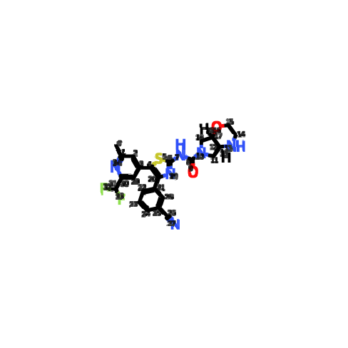 Cc1cc(-c2sc(NC(=O)N3C[C@@H]4NCCO[C@H]4C3)nc2-c2cccc(C#N)c2)cc(C(F)F)n1